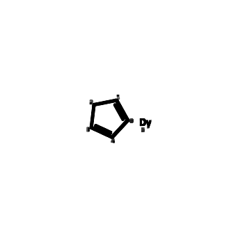 C1=CCC=C1.[Dy]